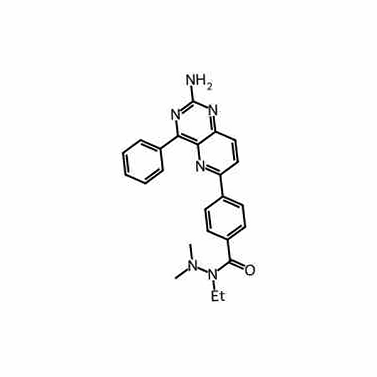 CCN(C(=O)c1ccc(-c2ccc3nc(N)nc(-c4ccccc4)c3n2)cc1)N(C)C